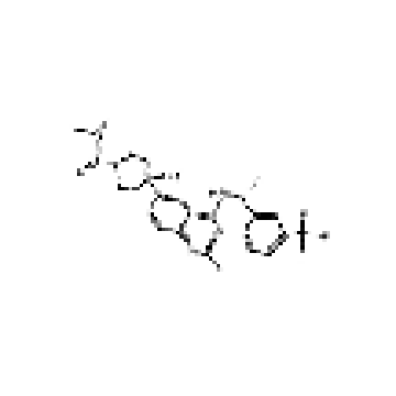 Cc1nc(N[C@H](C)c2cccc(C(F)(F)F)c2)c2cc([C@]3(O)CC[C@H](C(=O)N(C)C)CC3)ccc2n1